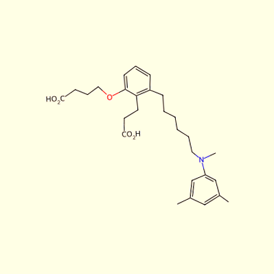 Cc1cc(C)cc(N(C)CCCCCCc2cccc(OCCCC(=O)O)c2CCC(=O)O)c1